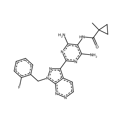 CC1(C(=O)Nc2c(N)nc(-c3nn(Cc4ccccc4F)c4nnccc34)nc2N)CC1